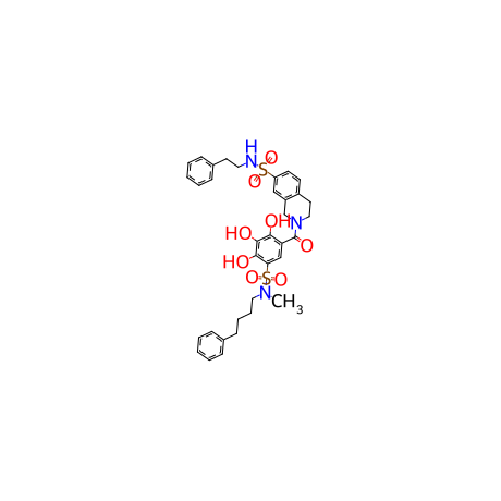 CN(CCCCc1ccccc1)S(=O)(=O)c1cc(C(=O)N2CCc3ccc(S(=O)(=O)NCCc4ccccc4)cc3C2)c(O)c(O)c1O